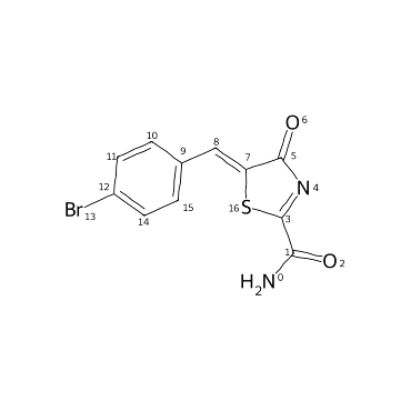 NC(=O)C1=NC(=O)C(=Cc2ccc(Br)cc2)S1